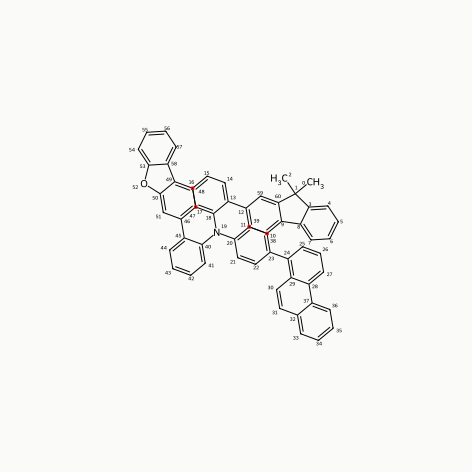 CC1(C)c2ccccc2-c2ccc(-c3ccccc3N(c3ccc(-c4cccc5c4ccc4ccccc45)cc3)c3ccccc3-c3ccc4c(c3)oc3ccccc34)cc21